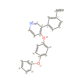 CNc1cccc(-c2cnccc2Oc2ccc(Oc3ccccc3)cc2)c1